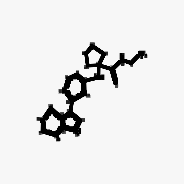 O=C(NCC(F)(F)F)C1(Nc2ccnc(-c3c[nH]c4ncncc34)n2)CCCC1